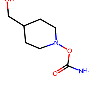 NC(=O)ON1CCC(CO)CC1